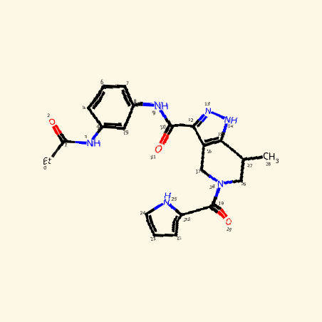 CCC(=O)Nc1cccc(NC(=O)c2n[nH]c3c2CN(C(=O)c2ccc[nH]2)CC3C)c1